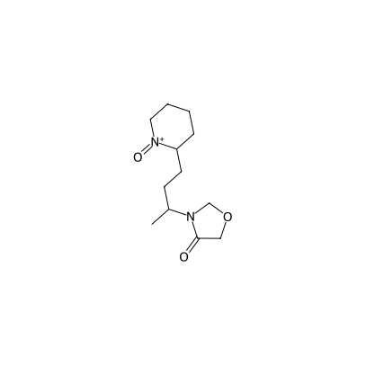 CC(CCC1CCCC[N+]1=O)N1COCC1=O